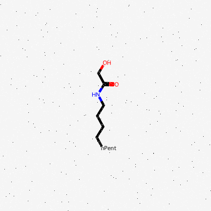 CCCCCCCCCNC(=O)CO